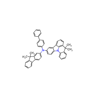 CC1(C)c2ccccc2-c2ccc(N(c3ccc(-c4ccccc4)cc3)c3ccc4c(c3)c3cccc5c3n4-c3ccccc3C5(C)C)cc21